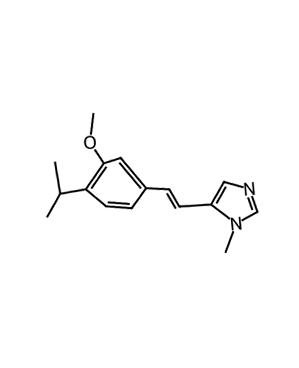 COc1cc(/C=C/c2cncn2C)ccc1C(C)C